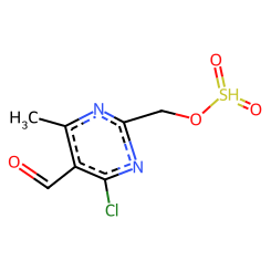 Cc1nc(CO[SH](=O)=O)nc(Cl)c1C=O